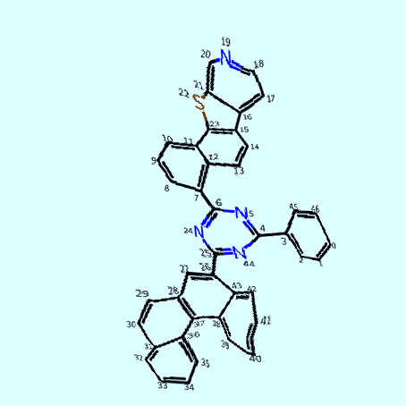 c1ccc(-c2nc(-c3cccc4c3ccc3c5ccncc5sc43)nc(-c3cc4ccc5ccccc5c4c4ccccc34)n2)cc1